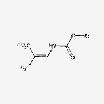 CCOC(=O)N/C=C(/C)C(=O)O